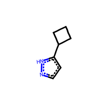 c1cc([C]2CCC2)[nH]n1